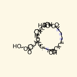 CO[C@H]1C[C@@H]2CC[C@@H](C)[C@@](O)(CCN3CCCC[C@H]3CO[C@H]([C@H](C)C[C@@H]3CC[C@@H](OCCO)[C@H](OC)C3)CC[C@@H](C)/C=C(\C)[C@@H](O)[C@H](OC)C[C@H](C)C[C@H](C)/C=C/C=C/C=C/1C)O2